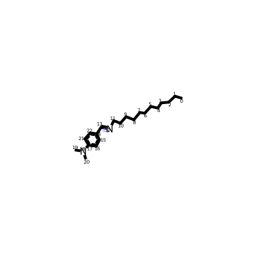 CCCCCCCCCCCC/N=C/c1ccc(N(C)C)cc1